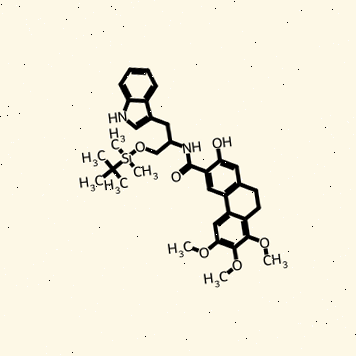 COc1cc2c(c(OC)c1OC)CCc1cc(O)c(C(=O)NC(CO[Si](C)(C)C(C)(C)C)Cc3c[nH]c4ccccc34)cc1-2